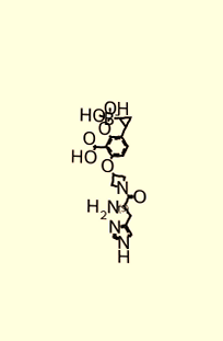 N[C@@H](Cc1c[nH]cn1)C(=O)N1CC(Oc2ccc3c(c2C(=O)O)O[B-](O)(O)C2CC32)C1